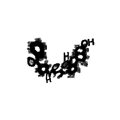 CC(CCC(=O)Nc1ccc(C(=O)c2ccccc2)cc1)[C@H]1CCC2C3CCC4C[C@H](O)CC[C@]4(C)C3C[C@H](O)[C@@]21C